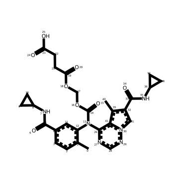 Cc1ccc(C(=O)NC2CC2)cc1N(C(=O)OCOC(=O)CCC(=O)O)c1ncnn2cc(C(=O)NC3CC3)c(C)c12